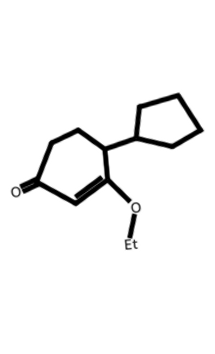 CCOC1=CC(=O)CCC1C1CCCC1